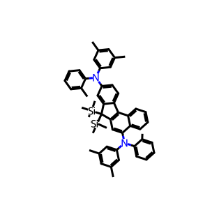 Cc1cc(C)cc(N(c2ccc3c(c2)C([Si](C)(C)C)([Si](C)(C)C)c2cc(N(c4cc(C)cc(C)c4)c4ccccc4C)c4ccccc4c2-3)c2ccccc2C)c1